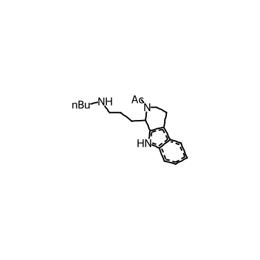 CCCCNCCCC1c2[nH]c3ccccc3c2CCN1C(C)=O